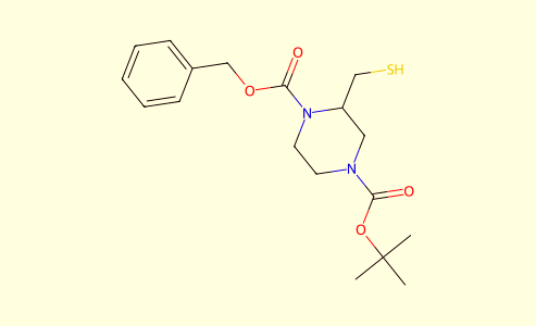 CC(C)(C)OC(=O)N1CCN(C(=O)OCc2ccccc2)C(CS)C1